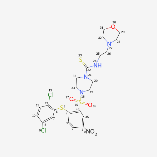 O=[N+]([O-])c1ccc(Sc2cc(Cl)ccc2Cl)c(S(=O)(=O)N2CCN(C(=S)NCCN3CCOCC3)CC2)c1